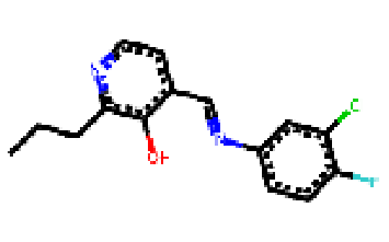 CCCc1nccc(C=Nc2ccc(F)c(Cl)c2)c1O